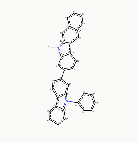 Cn1c2cc(-c3ccc4c5ccccc5n(-c5ccccc5)c4c3)ccc2c2cc3ccccc3cc21